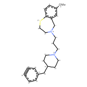 COc1ccc2c(c1)CN(CCCN1CCC(Cc3cc#ccc3)CC1)CCS2